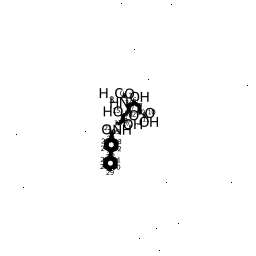 CC(=O)N[C@@H]1[C@@H](O)C[C@H](C(=O)O)O[C@H]1C(O)[C@H](O)CNC(=O)c1ccc(-c2ccccc2)cc1